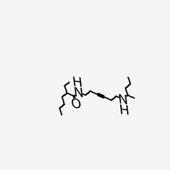 CCCCC(CC)C(=O)NCCC#CCCNC(C)CCC